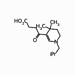 CC(C)CN1C=C(C(=O)CCC(=O)O)C(C)(C)CC1